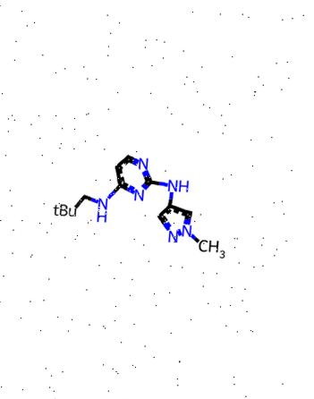 Cn1cc(Nc2nccc(NCC(C)(C)C)n2)cn1